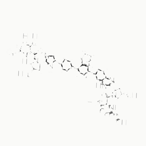 COC(=O)N[C@H](C(=O)N1C[C@@H](C)C[C@H]1c1ncc(-c2ccc(-c3ccc(-c4ccc5nc([C@@H]6C[C@H](C)CN6C(=O)[C@@H](NC(=O)OC)C(C)C)[nH]c5c4)c4c3C3CCC4O3)cc2)[nH]1)C(C)C